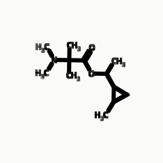 CC1CC1C(C)OC(=O)C(C)(C)N(C)C